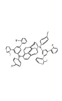 Fc1ccc(N(c2cc(-c3ccccc3F)cc(-c3ccccc3F)c2)c2ccc3ccc4c(N(c5ccc(F)cc5)c5cc(-c6ccccc6F)cc(-c6ccccc6F)c5)ccc5ccc2c3c54)cc1